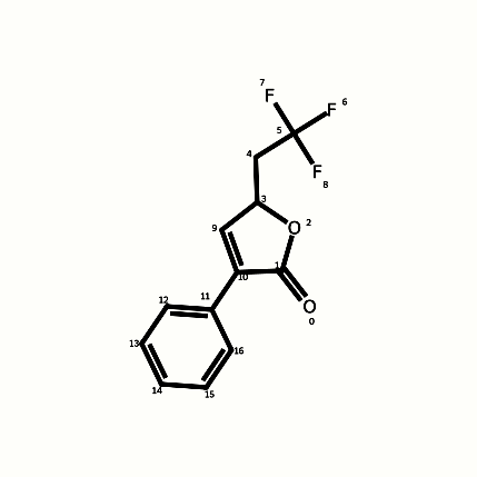 O=C1OC(CC(F)(F)F)C=C1c1ccccc1